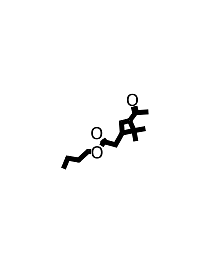 CCCCOC(=O)CC1CC(C(C)=O)C1(C)C